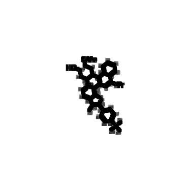 COCCC1c2c(cc(C(C)C)c3ccccc23)-c2c3sc(-c4ccc([Si](C)(C)C)cc4)c(C)c3cc[n+]2C1CCO